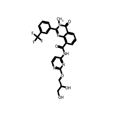 Cn1c(-c2cccc(C(F)(F)F)c2)nc2c(C(=O)Nc3ccnc(OCC(O)CO)n3)cccc2c1=O